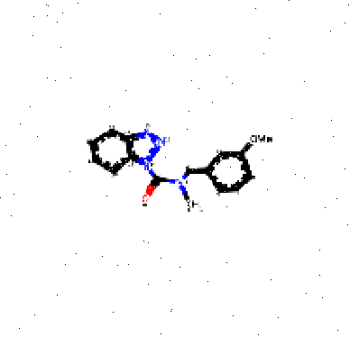 COc1cccc(CN(C)C(=O)n2nnc3ccccc32)c1